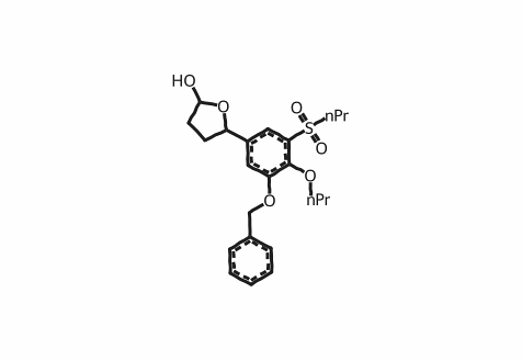 CCCOc1c(OCc2ccccc2)cc(C2CCC(O)O2)cc1S(=O)(=O)CCC